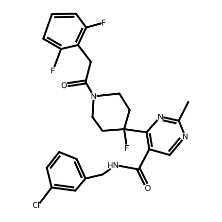 Cc1ncc(C(=O)NCc2cccc(Cl)c2)c(C2(F)CCN(C(=O)Cc3c(F)cccc3F)CC2)n1